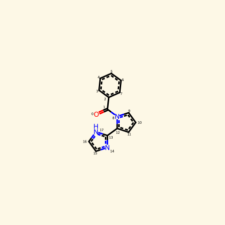 O=C(c1ccccc1)n1cccc1-c1ncc[nH]1